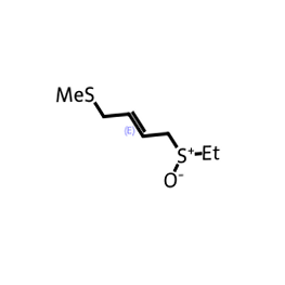 CC[S+]([O-])C/C=C/CSC